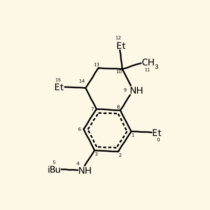 CCc1cc(NC(C)CC)cc2c1NC(C)(CC)CC2CC